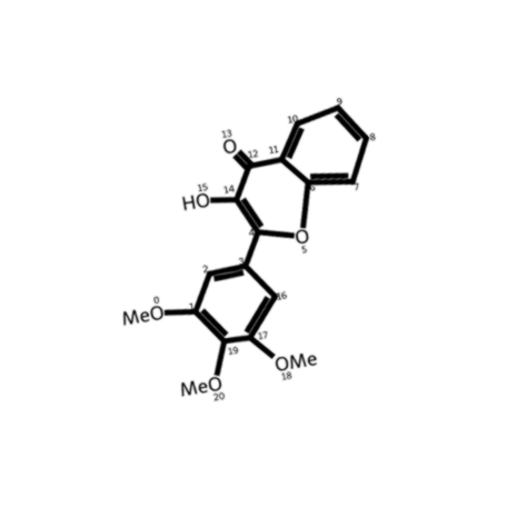 COc1cc(-c2oc3ccccc3c(=O)c2O)cc(OC)c1OC